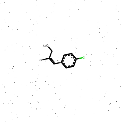 CC(=O)OCC(=Cc1ccc(Cl)cc1)C(C)C